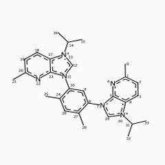 Cc1ccc2c(n1)n(-c1cc(-n3c[n+](C(C)C)c4ccc(C)nc43)c(C)cc1C)c[n+]2C(C)C